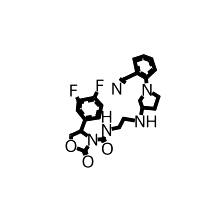 N#Cc1ccccc1N1CCC(NCCNC(=O)N2C(=O)OCC2c2ccc(F)c(F)c2)C1